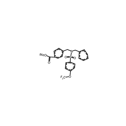 COC(=O)c1ccc(CN(Cc2ccccc2)S(=O)(=O)c2ccc(OC(F)(F)F)cc2)cc1